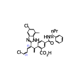 C=C(/C(=C\C=C/Cl)c1nc2cc(Cl)cc(C)c2[nH]1)c1ccc(C(=O)N[C@H](CCC)c2ccccc2)cc1C(=O)O